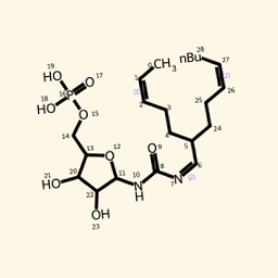 C/C=C\CCC(/C=N\C(=O)NC1OC(COP(=O)(O)O)C(O)C1O)CC/C=C\CCCC